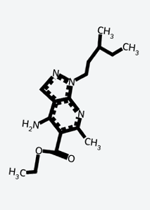 CCOC(=O)c1c(C)nc2c(cnn2CCC(C)CC)c1N